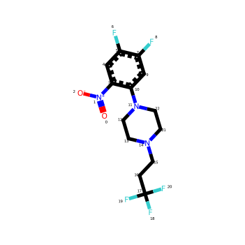 O=[N+]([O-])c1cc(F)c(F)cc1N1CCN(CCC(F)(F)F)CC1